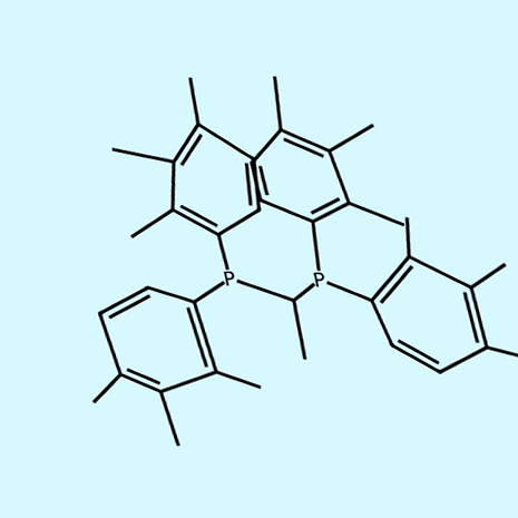 Cc1ccc(P(c2ccc(C)c(C)c2C)C(C)P(c2ccc(C)c(C)c2C)c2ccc(C)c(C)c2C)c(C)c1C